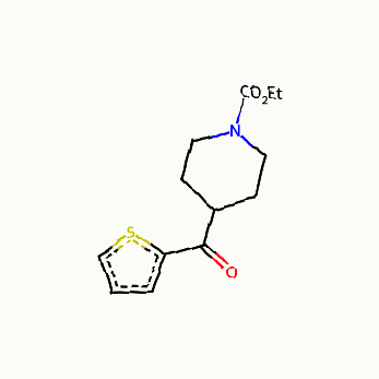 CCOC(=O)N1CCC(C(=O)c2cccs2)CC1